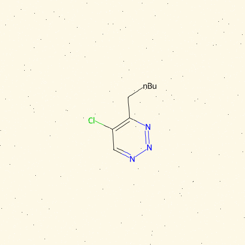 CCCCCc1nnncc1Cl